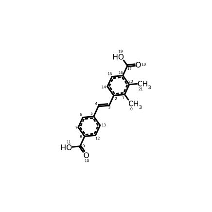 Cc1c(C=Cc2ccc(C(=O)O)cc2)ccc(C(=O)O)c1C